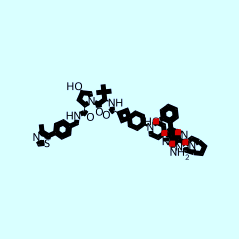 Cc1ncsc1-c1ccc(CNC(=O)[C@@H]2C[C@@H](O)CN2C(=O)[C@@H](NC(=O)[C@H]2CC3(CC[C@H](N4CCC(c5cnc(N6C7CCC6CN(c6cc(-c8ccccc8O)nnc6N)C7)nc5)CC4)CC3)C2)C(C)(C)C)cc1